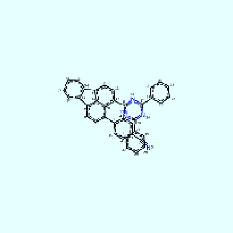 N#Cc1ccc(-c2ccc3c4c(ccc(-c5nc(-c6ccccc6)nc(-c6ccccc6)n5)c24)-c2ccccc2-3)cc1